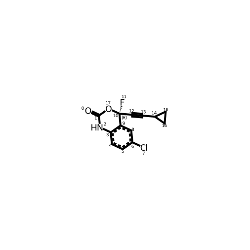 O=C1Nc2ccc(Cl)cc2[C@](F)(C#CC2CC2)O1